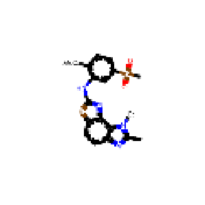 CCn1c(C)nc2ccc3sc(Nc4cc(S(C)(=O)=O)ccc4OC)nc3c21